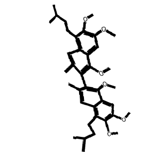 COc1cc2c(OC)c(-c3c(C)cc4c(CCC(C)C)c(OC)c(OC)cc4c3OC)c(C)cc2c(CCC(C)C)c1OC